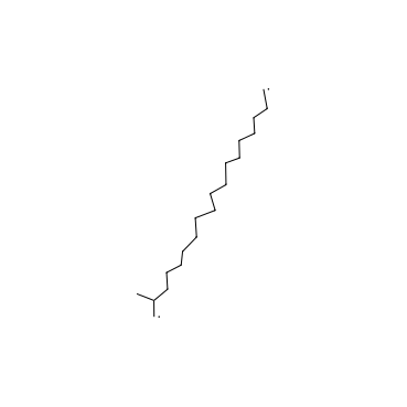 [CH2]CCCCCCCCCCCCCCCC([CH2])C